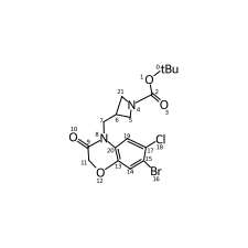 CC(C)(C)OC(=O)N1CC(CN2C(=O)COc3cc(Br)c(Cl)cc32)C1